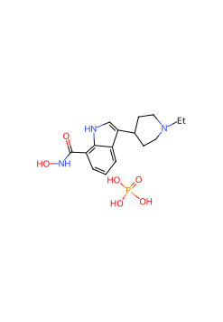 CCN1CCC(c2c[nH]c3c(C(=O)NO)cccc23)CC1.O=P(O)(O)O